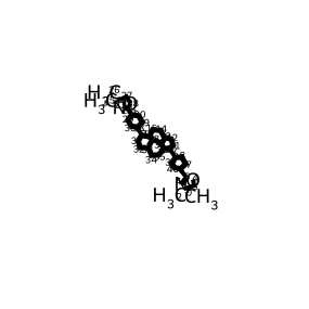 CC1(C)COC(c2ccc(-c3ccc4ccc5c(-c6ccc(C7=NC(C)(C)CO7)cc6)ccc6ccc3c4c65)cc2)=N1